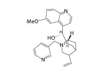 C=CC1C[N+]2(Cc3cccnc3)CCC1C[C@H]2[C@H](O)c1ccnc2ccc(OC)cc12